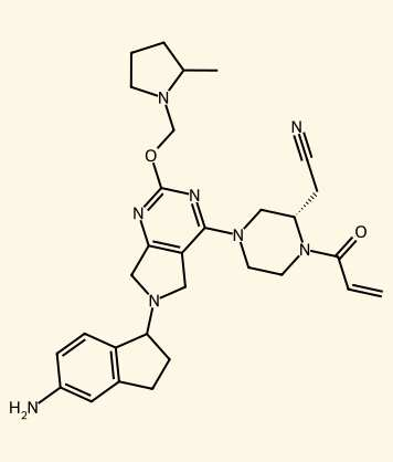 C=CC(=O)N1CCN(c2nc(OCN3CCCC3C)nc3c2CN(C2CCc4cc(N)ccc42)C3)C[C@@H]1CC#N